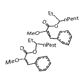 CCCCCC(CC)OC(=O)C(=Cc1ccccc1)OC.CCCCCC(CC)OC(=O)C(=Cc1ccccc1)OC